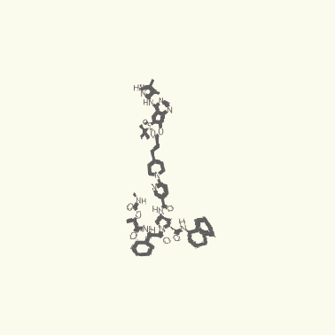 CNC(=O)OC(C)C(=O)NC(C(=O)N1C[C@@H](NC(=O)c2ccc(N3CCC(CCCOc4cc5ncnc(Nc6n[nH]c(C)c6C)c5cc4S(=O)(=O)C(C)(C)C)CC3)nc2)C[C@H]1C(=O)N[C@@H]1CCCc2ccccc21)C1CCCCC1